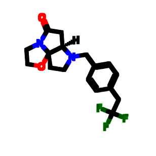 O=C1C[C@H]2N(Cc3ccc(CC(F)(F)F)cc3)CC[C@]23OCCN13